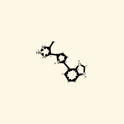 Cc1n[nH]nc1-c1ccc(-c2cccc3c2OCO3)s1